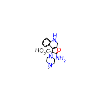 CN1CCN(C(C(N)=O)(C(=O)O)C2=CCNc3ccccc32)CC1